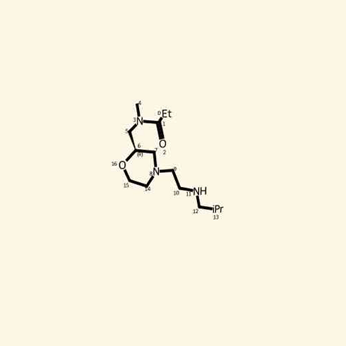 CCC(=O)N(C)C[C@H]1CN(CCNCC(C)C)CCO1